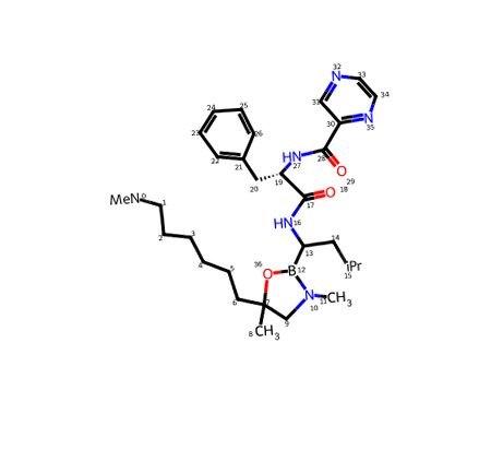 CNCCCCCCC1(C)CN(C)B(C(CC(C)C)NC(=O)[C@H](Cc2ccccc2)NC(=O)c2cnccn2)O1